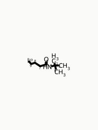 CC(C)(C)NC(=O)CCCI